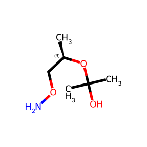 C[C@H](CON)OC(C)(C)O